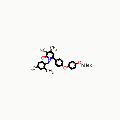 CCCCCCOc1ccc(Oc2ccc(-c3cc(C(F)(F)F)c(C#N)c(=O)n3Cc3ccc(C)cc3C)cc2)cc1